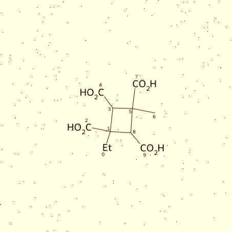 CCC1(C(=O)O)C(C(=O)O)C(C)(C(=O)O)C1C(=O)O